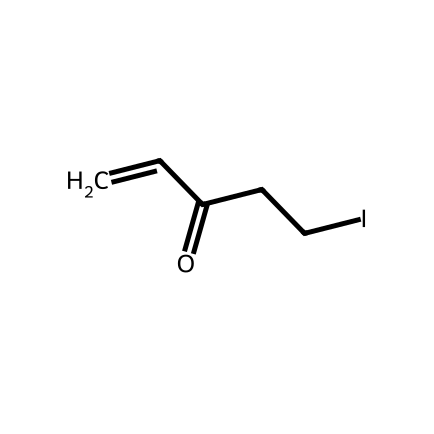 C=CC(=O)CCI